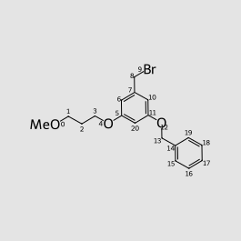 COCCCOc1cc(CBr)cc(OCc2ccccc2)c1